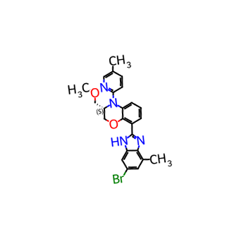 COC[C@H]1COc2c(-c3nc4c(C)cc(Br)cc4[nH]3)cccc2N1c1ccc(C)cn1